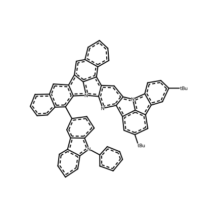 CC(C)(C)c1ccc2c(c1)c1cc(C(C)(C)C)cc3c4nc5c(cc4n2c13)c1c2ccccc2cc2c3cc4ccccc4c(-c4ccc6c(c4)c4ccccc4n6-c4ccccc4)c3n5c21